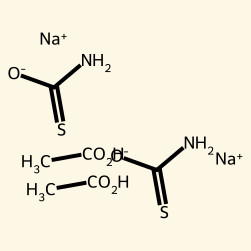 CC(=O)O.CC(=O)O.NC([O-])=S.NC([O-])=S.[Na+].[Na+]